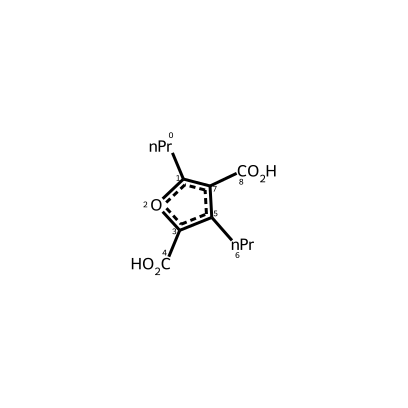 CCCc1oc(C(=O)O)c(CCC)c1C(=O)O